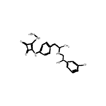 CCCCNc1c(Nc2ccc(CC(C)NCC(O)c3cccc(Cl)c3)cc2)c(=O)c1=O